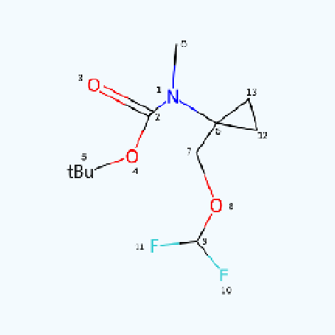 CN(C(=O)OC(C)(C)C)C1(COC(F)F)CC1